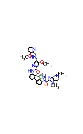 COc1cc(C(=O)Nc2cccc(-c3cccc(NC(=O)c4nc5c(n4C)CCN(C)C5)c3Cl)c2C)ncc1CNCc1ncccc1OC